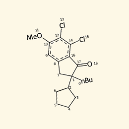 CCCCC1(C2CCCC2)Cc2cc(OC)c(Cl)c(Cl)c2C1=O